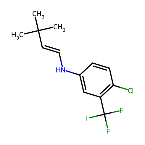 CC(C)(C)C=CNc1ccc(Cl)c(C(F)(F)F)c1